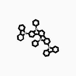 C1=Cc2c(n(-c3ccc4c5c(ccc6c7ccc(-n8c9ccccc9c9ccccc98)cc7n(-c7ccccc7)c65)n(-c5ccccc5)c4c3)c3ccccc23)CC1